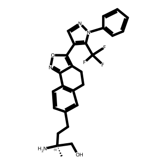 C[C@@](N)(CO)CCc1ccc2c(c1)CCc1c-2noc1-c1cnn(-c2ccccc2)c1C(F)(F)F